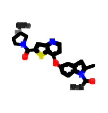 CNC(=O)n1c(C)cc2cc(Oc3ccnc4cc(C(=O)N5CC[C@H](OC)C5)sc34)ccc21